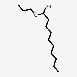 CCCCCCCCCC(O)OCCC